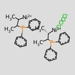 CC([C@H](C)[Ni+2])P(c1ccccc1)c1ccccc1.C[CH]([Ni+2])C(C)P(c1ccccc1)c1ccccc1.[Cl-].[Cl-].[Cl-].[Cl-]